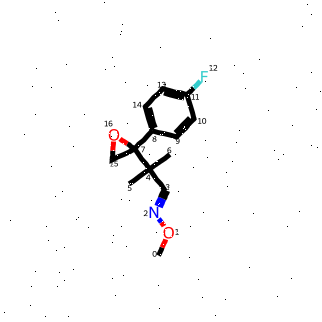 CON=CC(C)(C)C1(c2ccc(F)cc2)CO1